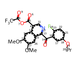 COc1cc2c(C(=O)OC(=O)C(F)(F)F)cnc(C(=O)c3cc(OC(C)C)ccc3F)c2cc1OC